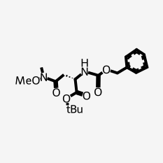 CON(C)C(=O)C[C@H](NC(=O)OCc1ccccc1)C(=O)OC(C)(C)C